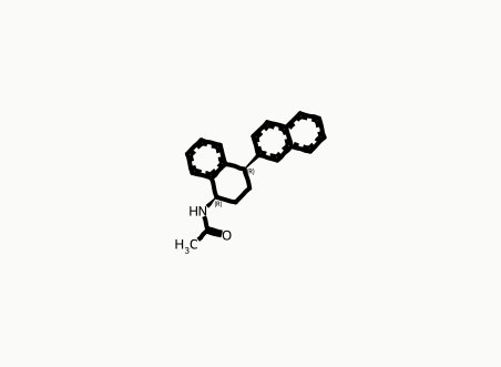 CC(=O)N[C@@H]1CC[C@H](c2ccc3ccccc3c2)c2ccccc21